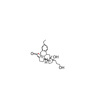 CCc1ccc2c(c1)C[C@]13CCC(=O)C=C1CC[C@@H]1C3C2C[C@@]2(C)[C@@H]1CC[C@]2(O)CCCO